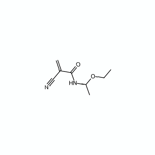 C=C(C#N)C(=O)NC(C)OCC